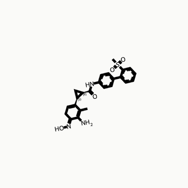 CC1=C(N)C(=NO)CC=C1[C@H]1C[C@H]1C(=O)Nc1ccc(-c2ccccc2S(C)(=O)=O)cc1